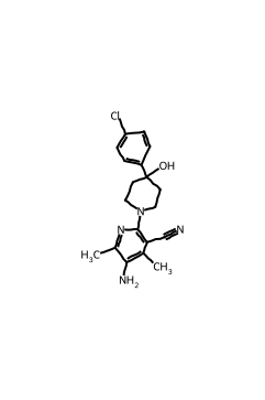 Cc1nc(N2CCC(O)(c3ccc(Cl)cc3)CC2)c(C#N)c(C)c1N